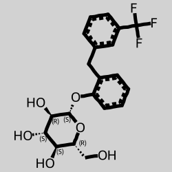 OC[C@H]1O[C@@H](Oc2ccccc2Cc2cccc(C(F)(F)F)c2)[C@H](O)[C@@H](O)[C@@H]1O